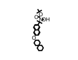 CC(C)(C)OC(=O)N(O)C(C)(C)c1ccc2cc(OC3CCC4(CCCCC4)CC3)ccc2c1